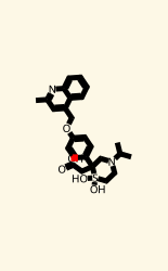 Cc1cc(COc2ccc(C3(CC(=O)O)CN(C(C)C)CCS3(O)O)cc2)c2ccccc2n1